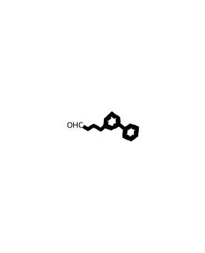 O=CCCCc1cccc(-c2ccccc2)c1